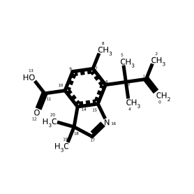 C=C(C)C(C)(C)c1c(C)cc(C(=O)O)c2c1N=CC2(C)C